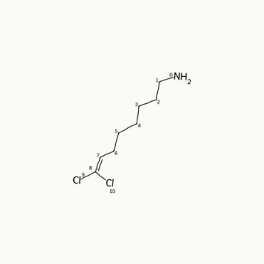 NCCCCCCC=C(Cl)Cl